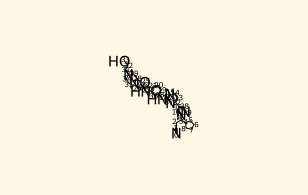 N#CCC(C1CCCC1)n1cc(-c2ccnc(Nc3cccc(NC(=O)CN4CCN(CCO)CC4)c3)n2)cn1